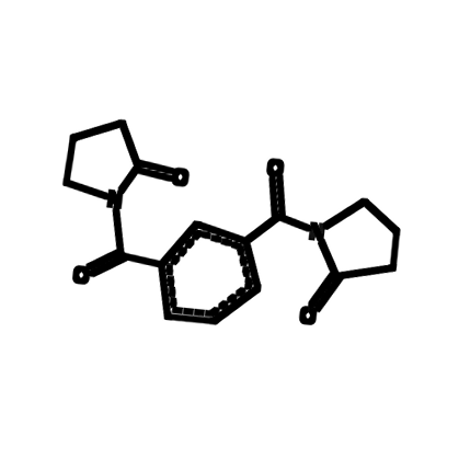 O=C1CCCN1C(=O)c1cccc(C(=O)N2CCCC2=O)c1